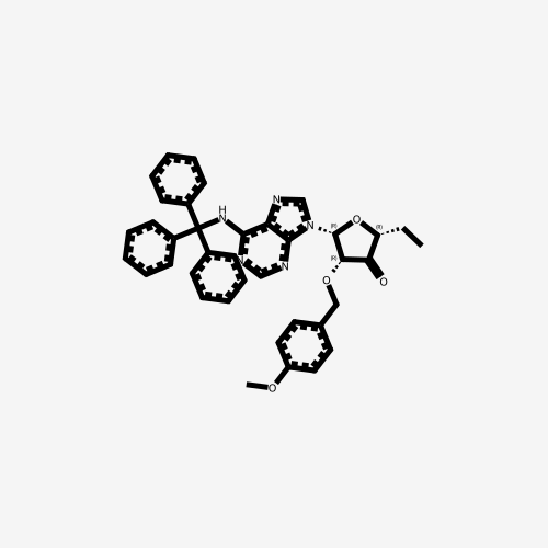 CC[C@H]1O[C@@H](n2cnc3c(NC(c4ccccc4)(c4ccccc4)c4ccccc4)ncnc32)[C@@H](OCc2ccc(OC)cc2)C1=O